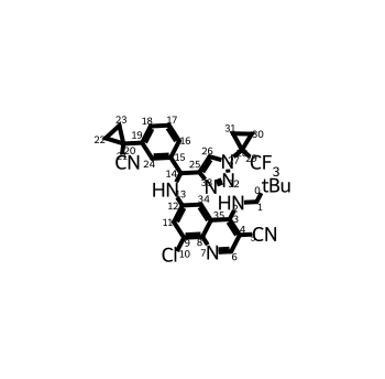 CC(C)(C)CNc1c(C#N)cnc2c(Cl)cc(NC(c3cccc(C4(C#N)CC4)c3)c3cn(C4(C(F)(F)F)CC4)nn3)cc12